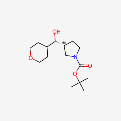 CC(C)(C)OC(=O)N1CC[C@@H](C(O)C2CCOCC2)C1